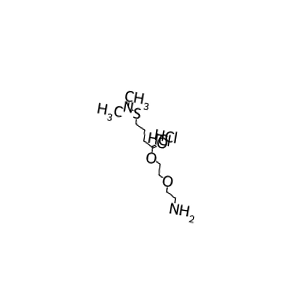 CN(C)SCCCC(=O)OCCOCCN.Cl.Cl